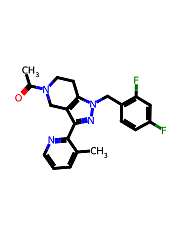 CC(=O)N1CCc2c(c(-c3ncccc3C)nn2Cc2ccc(F)cc2F)C1